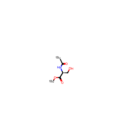 CC(C)(C)OC(=O)[C@H](CO)NC(=O)C(C)(C)C